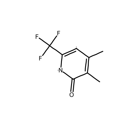 CC1=C(C)C(=O)[N]C(C(F)(F)F)=[C]1